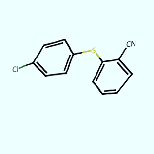 N#Cc1ccccc1Sc1ccc(Cl)cc1